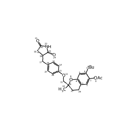 CC(=O)Oc1cc2c(cc1C(C)(C)C)OC(C)(COc1ccc(CC3SC(=O)NC3=O)cc1)CC2